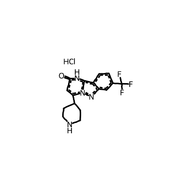 Cl.O=c1cc(C2CCNCC2)n2nc3cc(C(F)(F)F)ccc3c2[nH]1